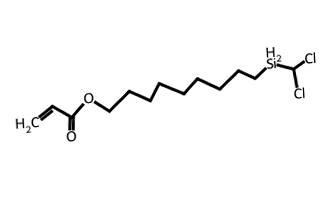 C=CC(=O)OCCCCCCCCC[SiH2]C(Cl)Cl